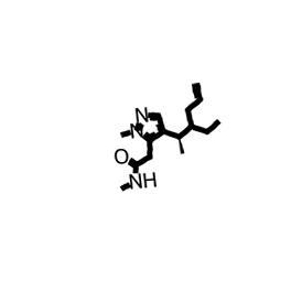 C=CCC(CC)[C@@H](C)c1cnn(C)c1CC(=O)NC